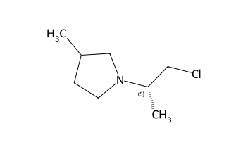 CC1CCN([C@@H](C)CCl)C1